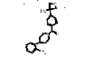 O=C(c1ccc(C2(O)COC2)cc1)N1CCC(c2ccccc2C(F)(F)F)CC1